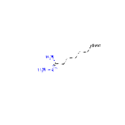 CCCCCCCCCC/C(N)=N/N